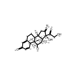 C=C1C[C@H]2[C@@H]3CCC4=CC(=O)C=C[C@]4(C)[C@@]3(Cl)C(Cl)C[C@]2(C)[C@@]1(O)C(=O)CO